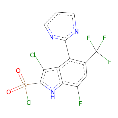 O=S(=O)(Cl)c1[nH]c2c(F)cc(C(F)(F)F)c(-c3ncccn3)c2c1Cl